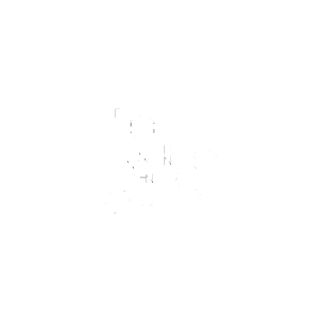 Cc1ccccc1C(=O)Nc1nc(-c2ccccc2O)nn1-c1cccc(F)c1